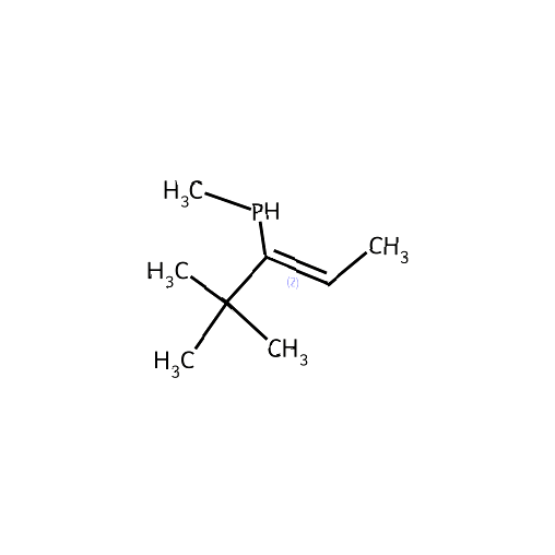 C/C=C(\PC)C(C)(C)C